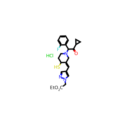 CCOC(=O)Cn1cc(C=C2CN(C(C(=O)C3CC3)c3ccccc3F)CCC2S)cn1.Cl